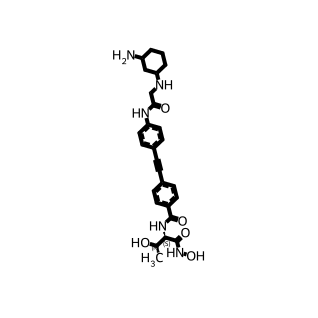 C[C@@H](O)[C@H](NC(=O)c1ccc(C#Cc2ccc(NC(=O)CNC3CCCC(N)C3)cc2)cc1)C(=O)NO